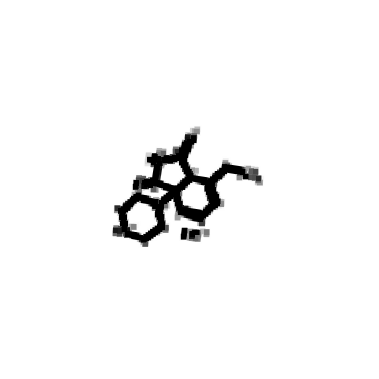 CCC1=CC=CC2(N3CCNCC3)C(=O)NC(=O)C12.Cl